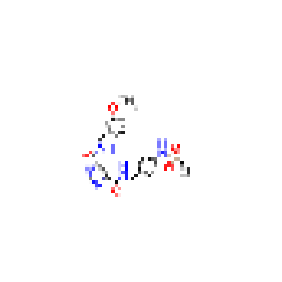 CCS(=O)(=O)Nc1ccc(CNC(=O)c2cc(C(=O)NCc3cccc(OC)c3)ncn2)cc1